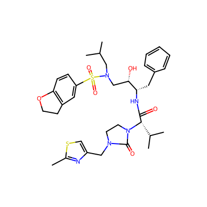 Cc1nc(CN2CCN([C@H](C(=O)N[C@@H](Cc3ccccc3)[C@@H](O)CN(CC(C)C)S(=O)(=O)c3ccc4c(c3)CCO4)C(C)C)C2=O)cs1